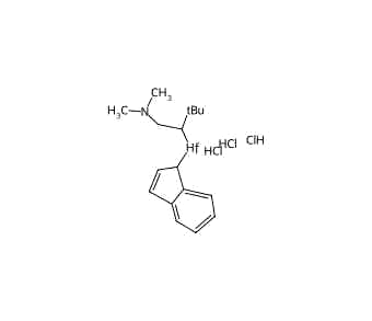 CN(C)C[CH]([Hf][CH]1C=Cc2ccccc21)C(C)(C)C.Cl.Cl.Cl